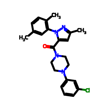 Cc1ccc(C)c(-n2nc(C)cc2C(=O)N2CCN(c3cccc(Cl)c3)CC2)c1